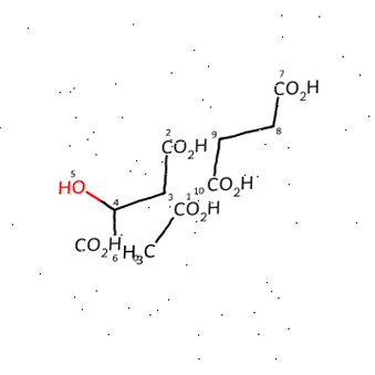 CC(=O)O.O=C(O)CC(O)C(=O)O.O=C(O)CCC(=O)O